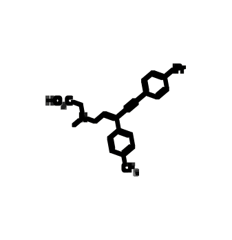 CC(C)c1ccc(C#CC(=CCN(C)CC(=O)O)c2ccc(C(F)(F)F)cc2)cc1